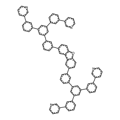 c1cncc(-c2cccc(-c3cc(-c4cccc(-c5cccnc5)c4)cc(-c4cccc(-c5ccc6oc7ccc(-c8cccc(-c9cc(-c%10cccc(-c%11cccnc%11)c%10)cc(-c%10cccc(-c%11cccnc%11)c%10)c9)c8)cc7c6c5)c4)c3)c2)c1